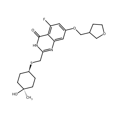 C[C@]1(O)CC[C@@H](SCc2nc3cc(OCC4CCOC4)cc(F)c3c(=O)[nH]2)CC1